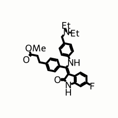 CCN(CC)Cc1ccc(NC(=C2C(=O)Nc3cc(F)ccc32)c2ccc(CCC(=O)OC)cc2)cc1